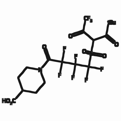 CC(C)(C)C(=O)C(C(=O)C(F)(F)F)S(=O)(=O)C(F)(F)C(F)(F)C(F)(F)C(=O)N1CCC(C(=O)O)CC1